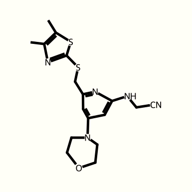 Cc1nc(SCc2cc(N3CCOCC3)cc(NCC#N)n2)sc1C